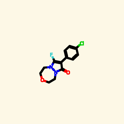 O=c1c(-c2ccc(Cl)cc2)c(F)n2n1CCOCC2